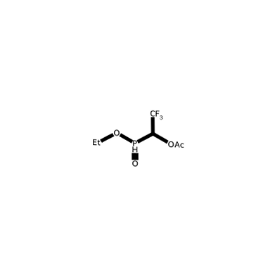 CCO[PH](=O)C(OC(C)=O)C(F)(F)F